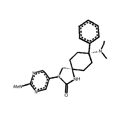 CNc1ncc(N2C[C@]3(CC[C@@](c4ccccc4)(N(C)C)CC3)NC2=O)cn1